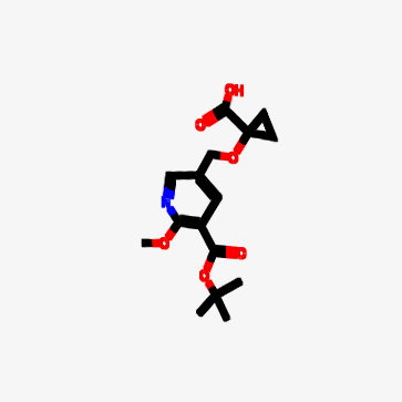 COc1ncc(COC2(C(=O)O)CC2)cc1C(=O)OC(C)(C)C